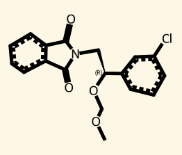 COCO[C@@H](CN1C(=O)c2ccccc2C1=O)c1cccc(Cl)c1